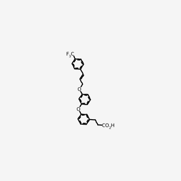 O=C(O)CCc1cccc(Oc2cccc(OCC=Cc3ccc(C(F)(F)F)cc3)c2)c1